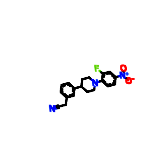 N#CCc1cccc(C2CCN(c3ccc([N+](=O)[O-])cc3F)CC2)c1